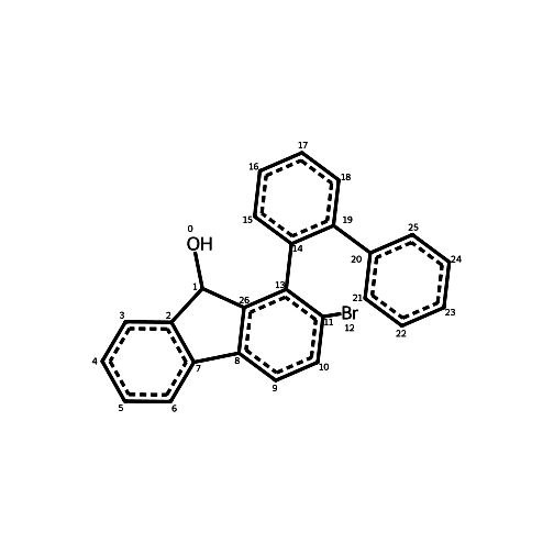 OC1c2ccccc2-c2ccc(Br)c(-c3ccccc3-c3ccccc3)c21